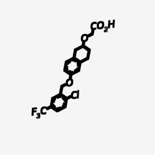 O=C(O)COC1CCc2cc(OCc3cc(C(F)(F)F)ccc3Cl)ccc2C1